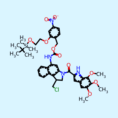 COc1cc2cc(C(=O)N3CC(CCl)c4c3cc(NC(=O)OCc3ccc([N+](=O)[O-])cc3OCCO[Si](C)(C)C(C)(C)C)c3ccccc43)[nH]c2c(OC)c1OC